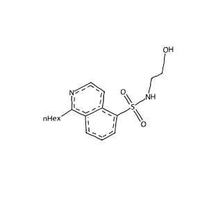 CCCCCCc1nccc2c(S(=O)(=O)NCCO)cccc12